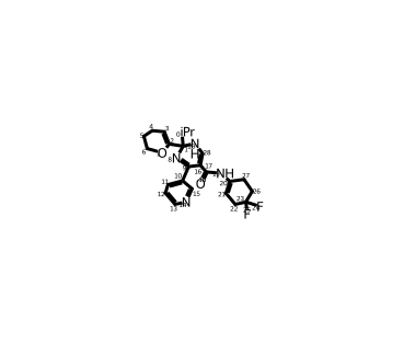 CC(C)C1(C2=CCCCO2)N=C(c2cccnc2)C(C(=O)NC2=CCC(F)(F)CC2)=CN1